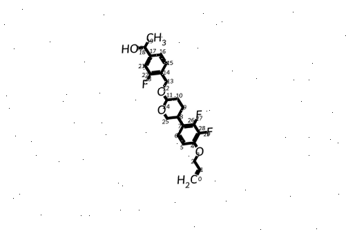 C=CCOc1ccc(C2CCC(OCc3ccc(C(C)O)cc3F)OC2)c(F)c1F